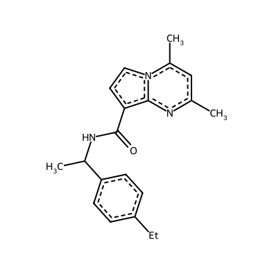 CCc1ccc(C(C)NC(=O)c2ccn3c(C)cc(C)nc23)cc1